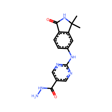 CC1(C)NC(=O)c2ccc(Nc3ncc(C(=O)NN)cn3)cc21